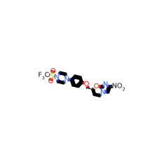 O=[N+]([O-])c1cn2c(n1)O[C@@H](COc1ccc(N3CCN(S(=O)(=O)C(F)(F)F)CC3)cc1)CC2